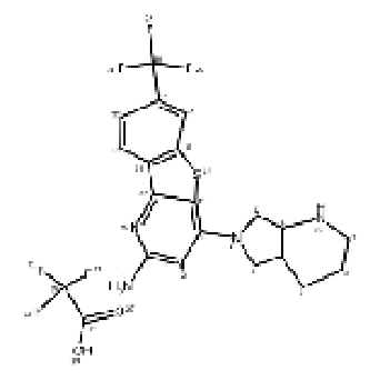 Nc1nc(N2CC3CCCNC3C2)c2sc3cc(C(F)(F)F)ccc3c2n1.O=C(O)C(F)(F)F